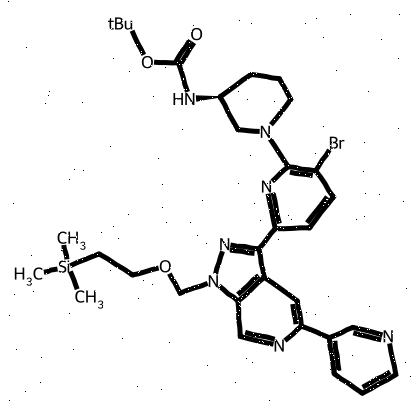 CC(C)(C)OC(=O)N[C@H]1CCCN(c2nc(-c3nn(COCC[Si](C)(C)C)c4cnc(-c5cccnc5)cc34)ccc2Br)C1